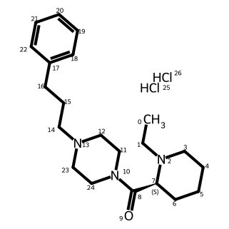 CCN1CCCC[C@H]1C(=O)N1CCN(CCCc2ccccc2)CC1.Cl.Cl